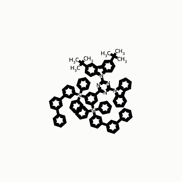 CC(C)(C)c1ccc2c(c1)c1cc(C(C)(C)C)ccc1n2-c1nc(-c2cc([Si](c3ccccc3)(c3ccccc3)c3cccc(-c4cccc(-c5ccccc5)c4)c3)cc([Si](c3ccccc3)(c3ccccc3)c3cccc(-c4cccc(-c5ccccc5)c4)c3)c2)nc(-n2c3ccccc3c3ccccc32)n1